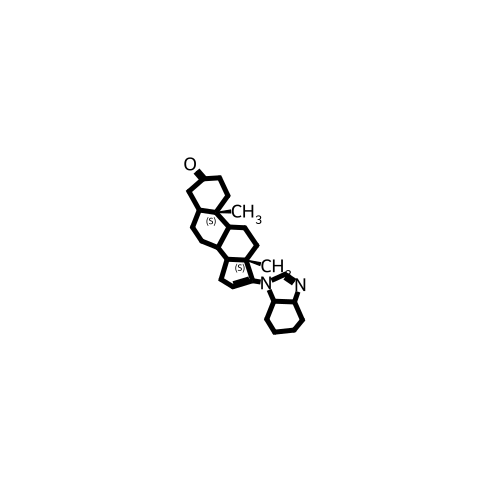 C[C@]12CCC(=O)CC1CCC1C2CC[C@]2(C)C(N3C=NC4CCCCC43)=CCC12